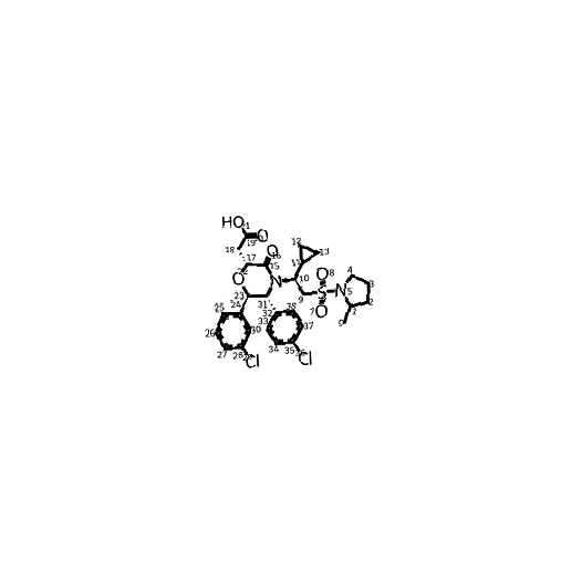 CC1CCCN1S(=O)(=O)C[C@H](C1CC1)N1C(=O)[C@@H](CC(=O)O)O[C@H](c2cccc(Cl)c2)[C@H]1c1ccc(Cl)cc1